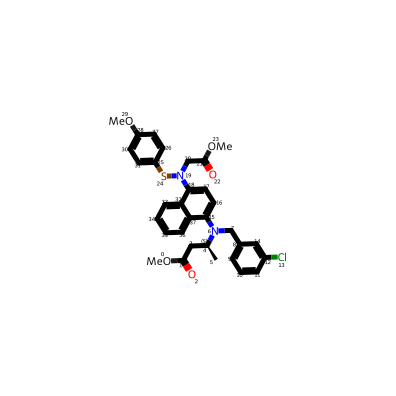 COC(=O)C[C@H](C)N(Cc1cccc(Cl)c1)c1ccc(N(CC(=O)OC)Sc2ccc(OC)cc2)c2ccccc12